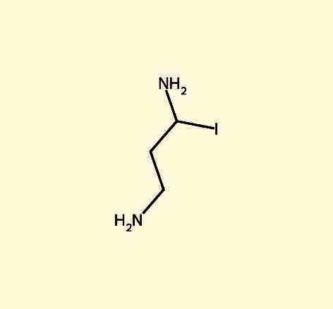 NCCC(N)I